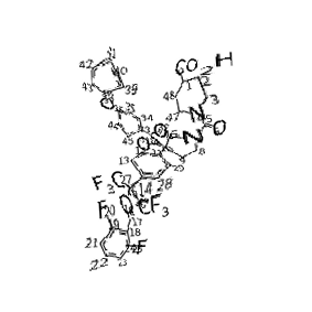 O=C(O)C1CCN(C(=O)N2CCC(c3ccc(C(OCc4c(F)cccc4F)(C(F)(F)F)C(F)(F)F)cc3)(S(=O)(=O)c3ccc(Oc4ccccc4)cc3)C2)CC1